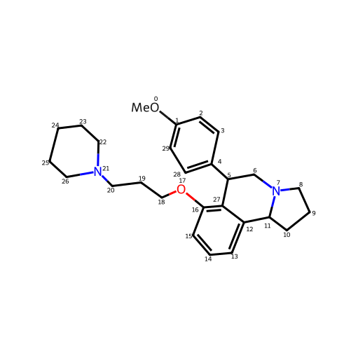 COc1ccc(C2CN3CCCC3c3cccc(OCCCN4CCCCC4)c32)cc1